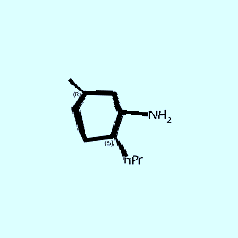 CCC[C@H]1CC[C@@H](C)CC1N